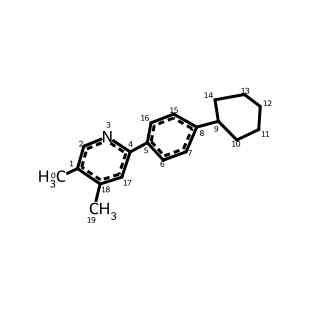 Cc1cnc(-c2ccc(C3CCCCC3)cc2)cc1C